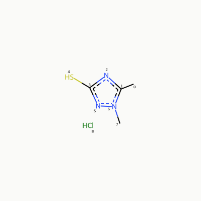 Cc1nc(S)nn1C.Cl